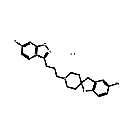 Cl.Fc1ccc2c(CCCN3CCC4(CC3)Cc3cc(Br)ccc3O4)noc2c1